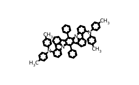 Cc1ccc(N(c2ccc(C)cc2)c2cccc3c2c2cccc4c5c(-c6ccccc6)c6c(c(-c7ccccc7)c5n3c24)c2cccc3c4c(N(c5ccc(C)cc5)c5ccc(C)cc5)cccc4n6c32)cc1